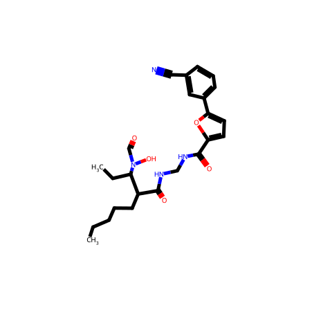 CCCCCC(C(=O)NCNC(=O)c1ccc(-c2cccc(C#N)c2)o1)C(CC)N(O)C=O